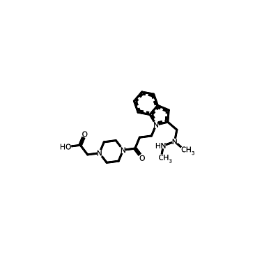 CNN(C)Cc1cc2ccccc2n1CCC(=O)N1CCN(CC(=O)O)CC1